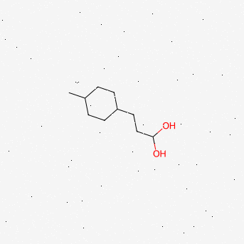 CC1CCC(CCC(O)O)CC1